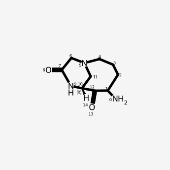 NC1CCCN2CC(=O)N[C@H](C2)C1=O